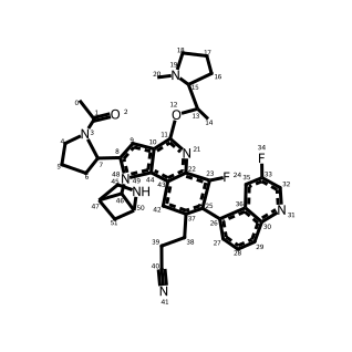 CC(=O)N1CCCC1c1cc2c(OC(C)C3CCCN3C)nc3c(F)c(-c4cccc5ncc(F)cc45)c(CCC#N)cc3c2n1C1C2CNC1C2